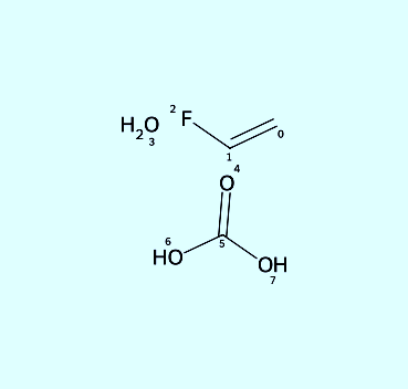 C=CF.O.O=C(O)O